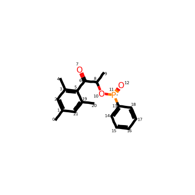 Cc1cc(C)c(C(=O)C(C)O[P](=O)c2ccccc2)c(C)c1